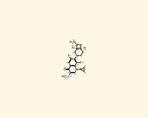 N[C@H]1C[C@H]2CCN(c3c(F)cc4c(=O)c(C(=O)O)cn(C5CC5)c4c3F)C[C@H]21